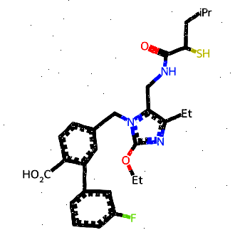 CCOc1nc(CC)c(CNC(=O)C(S)CC(C)C)n1Cc1ccc(C(=O)O)c(-c2cccc(F)c2)c1